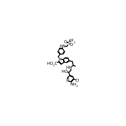 CC(Cc1ccc2c(c1)cc(C(=O)O)n2Cc1ccc(NCS(=O)(=O)C(F)(F)F)cc1)NCC(O)c1cnc(N)c(Cl)c1